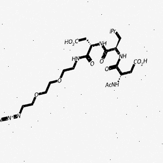 CC(=O)N[C@@H](CC(=O)O)C(=O)N[C@H](CC(C)C)C(=O)N[C@@H](CC(=O)O)C(=O)NCCOCCOCCN=[N+]=[N-]